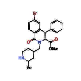 COC(=O)c1c(-c2ccccc2)c2cc(Br)ccc2c(=O)n1CC1CCNC(C(C)=O)C1